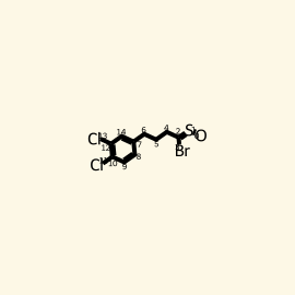 O=S=C(Br)CCCc1ccc(Cl)c(Cl)c1